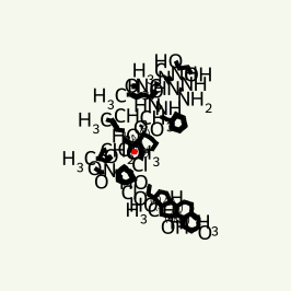 C=CC1(C)OC(=O)N(c2cc(Cl)cc(Cl)c2)C1=O.CN(C)C(=N)NC(=N)N.CO[C@@H]1C(=O)CC[C@]2(CO2)[C@@]1(O)[C@]1(C)O[C@@H]1CC=C(C)C.C[C@]12CCC(=O)C=C1CC[C@@H]1[C@@H]2[C@@H](O)C[C@@]2(C)[C@H]1CC[C@]2(O)C(=O)CO.Cc1cc(C(=O)NNCc2ccccc2)no1.OCCO